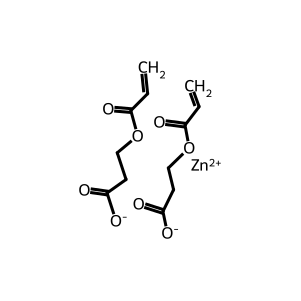 C=CC(=O)OCCC(=O)[O-].C=CC(=O)OCCC(=O)[O-].[Zn+2]